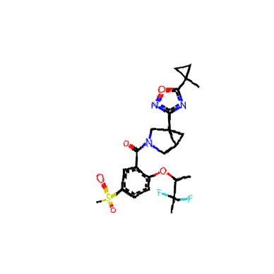 CC(Oc1ccc(S(C)(=O)=O)cc1C(=O)N1CC2CC2(c2noc(C3(C)CC3)n2)C1)C(C)(F)F